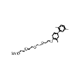 COCCOCCOCCOCCOc1ccc(-c2cc(C)ccc2C)cc1C